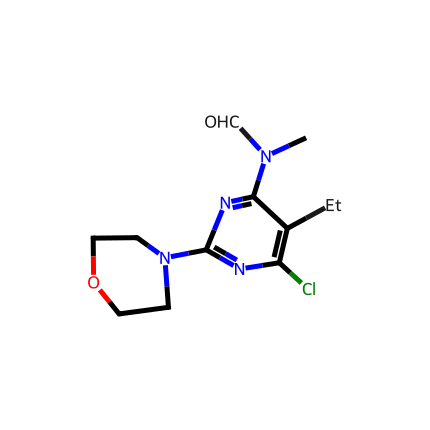 CCc1c(Cl)nc(N2CCOCC2)nc1N(C)C=O